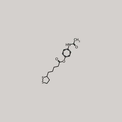 CC(=O)Nc1ccc(OC(=O)CCCCC2CCSS2)cc1